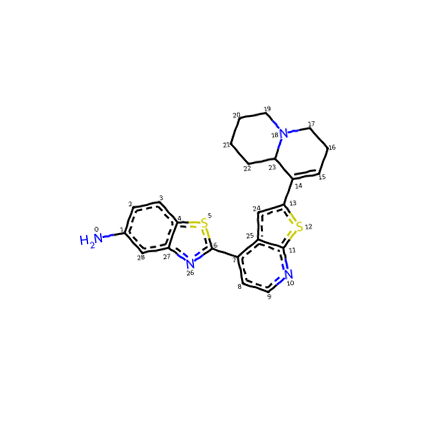 Nc1ccc2sc(-c3ccnc4sc(C5=CCCN6CCCCC56)cc34)nc2c1